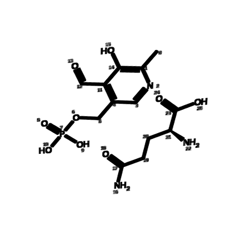 Cc1ncc(COP(=O)(O)O)c(C=O)c1O.NC(=O)CC[C@H](N)C(=O)O